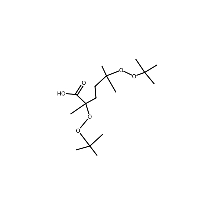 CC(C)(C)OOC(C)(C)CCC(C)(OOC(C)(C)C)C(=O)O